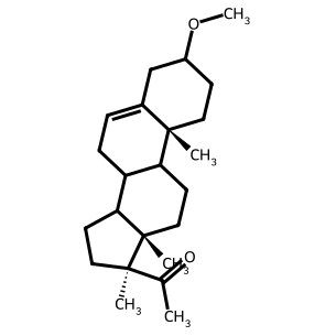 COC1CC[C@@]2(C)C(=CCC3C2CC[C@@]2(C)C3CC[C@]2(C)C(C)=O)C1